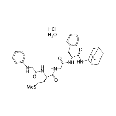 CSCC[C@@H](NC(=O)CNc1ccccc1)C(=O)NCC(=O)N[C@@H](Cc1ccccc1)C(=O)NC1C2CC3CC(C2)CC1C3.Cl.O